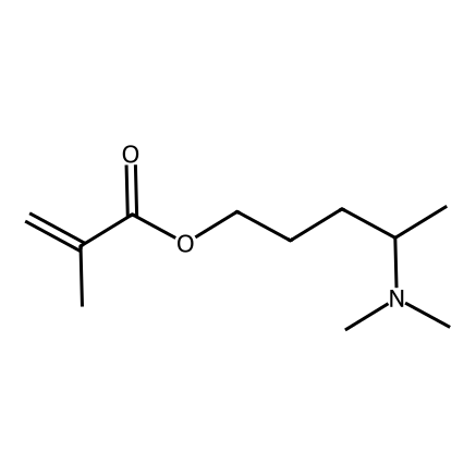 C=C(C)C(=O)OCCCC(C)N(C)C